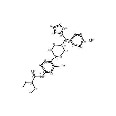 CCC(CC)C(=O)Nc1ccc(N2CCN(C(c3ccc(Cl)cc3)c3ncco3)CC2)c(F)c1